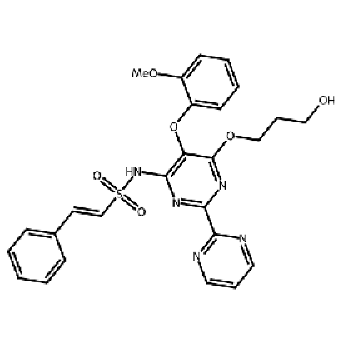 COc1ccccc1Oc1c(NS(=O)(=O)/C=C/c2ccccc2)nc(-c2ncccn2)nc1OCCCO